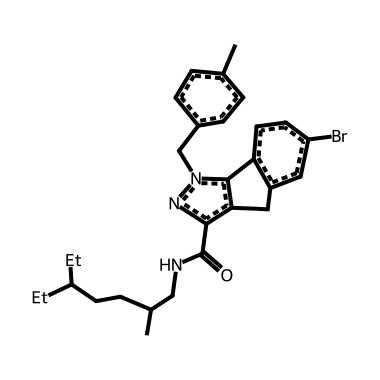 CCC(CC)CCC(C)CNC(=O)c1nn(Cc2ccc(C)cc2)c2c1Cc1cc(Br)ccc1-2